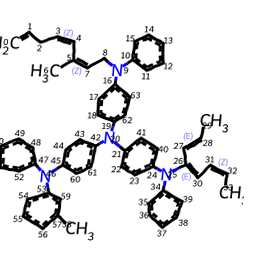 C=CC/C=C\C(C)=C/CN(c1ccccc1)c1ccc(N(c2ccc(N(C(/C=C/C)=C/C=C\C)c3ccccc3)cc2)c2ccc(N(c3ccccc3)c3cccc(C)c3)cc2)cc1